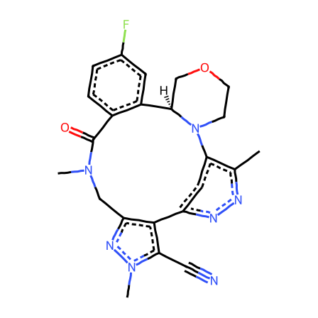 Cc1nnc2cc1N1CCOC[C@@H]1c1cc(F)ccc1C(=O)N(C)Cc1nn(C)c(C#N)c1-2